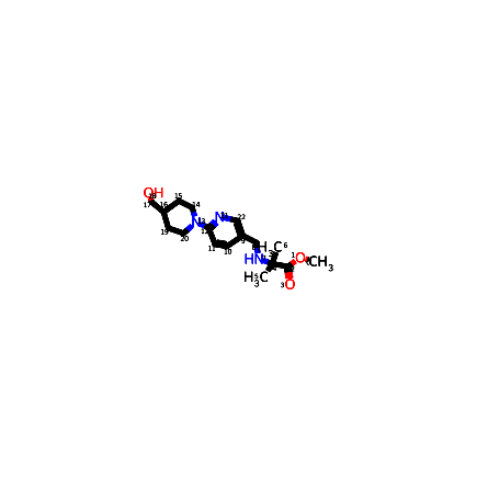 COC(=O)C(C)(C)NCc1ccc(N2CCC(CO)CC2)nc1